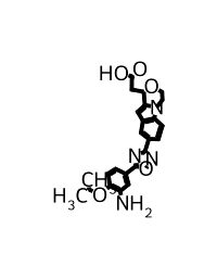 CC(C)Oc1ccc(-c2nc(-c3ccc4c(c3)cc3n4CCOC3CC(=O)O)no2)cc1N